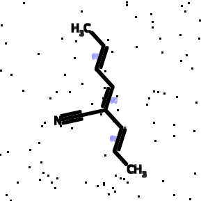 C/C=[C]/C(C#N)=C/C=C/C